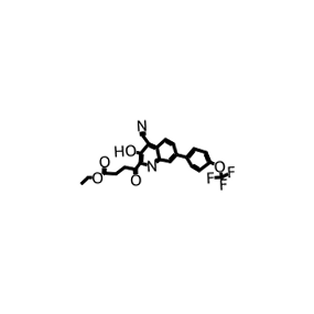 CCOC(=O)CCC(=O)c1nc2cc(-c3ccc(OC(F)(F)F)cc3)ccc2c(C#N)c1O